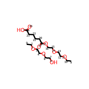 CCOCCOCCO.CCOCCOCCOC(=O)CCCCC(=O)O